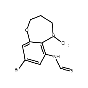 CN1CCCOc2cc(Br)cc(NC=S)c21